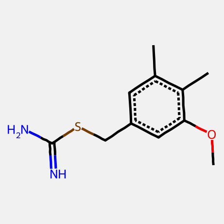 COc1cc(CSC(=N)N)cc(C)c1C